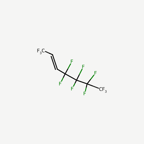 FC(F)(F)C=CC(F)(F)C(F)(F)C(F)(F)C(F)(F)F